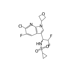 O=S(=O)(N[C@@H](c1cn(C2COC2)c2nc(Cl)c(F)cc12)C(F)F)C1CC1